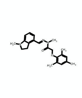 Cc1cc(C)c(OCC(=O)N(C)/N=C/c2cccc3c2CCN3C)c(C)c1